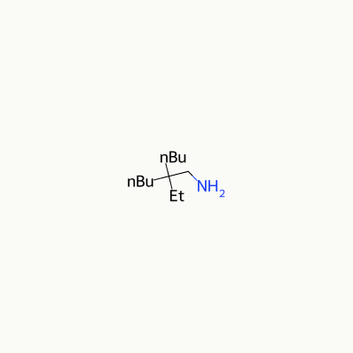 CCCCC(CC)(CN)CCCC